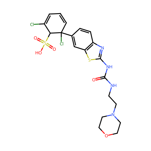 O=C(NCCN1CCOCC1)Nc1nc2ccc(C3(Cl)C=CC=C(Cl)C3S(=O)(=O)O)cc2s1